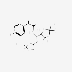 CC(C(=O)N[C@H]1[C@H]2OC(C)(C)O[C@H]2O[C@@H]1[C@H]1COC(C)(C)O1)c1ccc(F)cc1